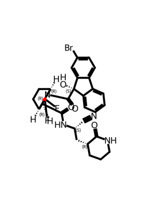 N#C[C@H](C[C@H]1CCCNC1=O)NC(=O)[C@H]1[C@H]2CC[C@H](CC2(F)F)N1C(=O)[C@]1(O)c2ccccc2-c2ccc(Br)cc21